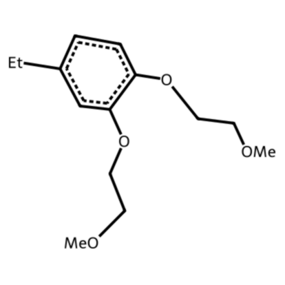 CCc1ccc(OCCOC)c(OCCOC)c1